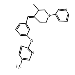 CC1CN(c2cccnc2)CCC1=Cc1cccc(Oc2ccc(C(F)(F)F)cn2)c1